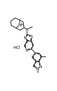 Cc1cc(-c2cc3sc(N(C)C4CC5CCCC(C4)N5)nc3cn2)cc2cn(C)nc12.Cl